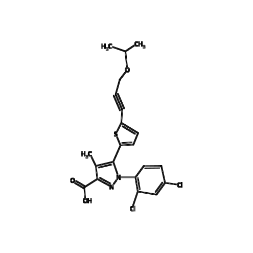 Cc1c(C(=O)O)nn(-c2ccc(Cl)cc2Cl)c1-c1ccc(C#CCOC(C)C)s1